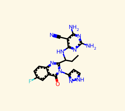 CCC(Nc1nc(N)nc(N)c1C#N)c1nc2ccc(F)cc2c(=O)n1-c1cc[nH]n1